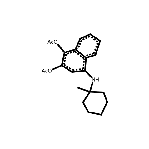 CC(=O)Oc1cc(NC2(C)CCCCC2)c2ccccc2c1OC(C)=O